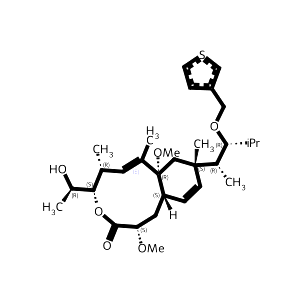 CO[C@H]1C[C@H]2C=C[C@@](C)([C@@H](C)[C@H](OCc3ccsc3)C(C)C)C[C@]2(OC)/C(C)=C/[C@@H](C)[C@@H]([C@@H](C)O)OC1=O